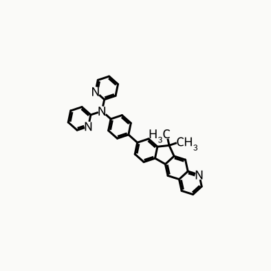 CC1(C)c2cc(-c3ccc(N(c4ccccn4)c4ccccn4)cc3)ccc2-c2cc3cccnc3cc21